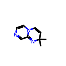 CC1(C)C=CN2C=CN=CC2=N1